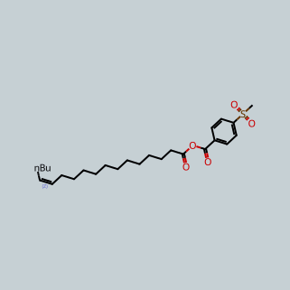 CCCC/C=C\CCCCCCCCCCCC(=O)OC(=O)c1ccc(S(C)(=O)=O)cc1